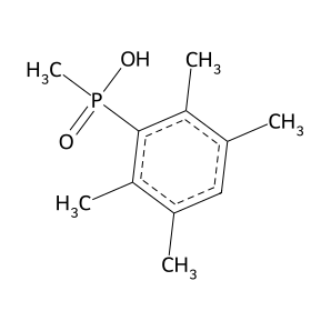 Cc1cc(C)c(C)c(P(C)(=O)O)c1C